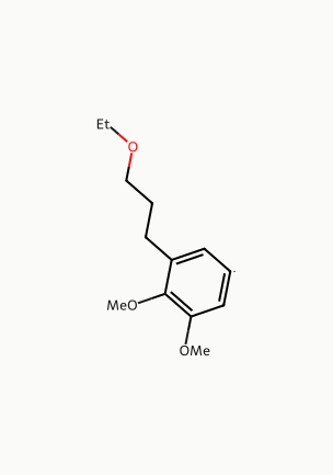 CCOCCCc1c[c]cc(OC)c1OC